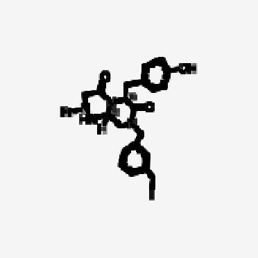 CCN1CC(=O)N2[C@H](CN(Cc3cccc(CI)c3)C(=O)[C@@H]2Cc2ccc(O)cc2)N1